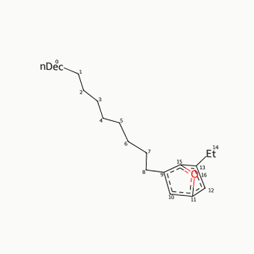 CCCCCCCCCCCCCCCCCCc1cc2cc(CC)c1o2